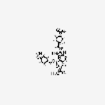 COc1ccc(COC(=O)C2=C(COC(C)=O)CS[C@@H]3[C@@H](/N=C/c4ccc([N+](=O)[O-])cc4)C(=O)N23)cc1